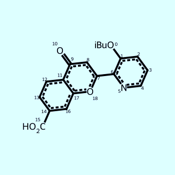 CC(C)COc1cccnc1-c1cc(=O)c2ccc(C(=O)O)cc2o1